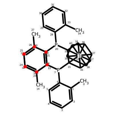 Cc1ccccc1P(c1ccccc1C)[C]12[CH]3[CH]4[CH]5[C]1(P(c1ccccc1C)c1ccccc1C)[Ti]43521678[CH]2[CH]1[CH]6[CH]7[CH]28